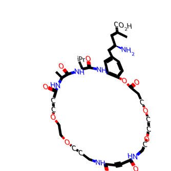 CC(C[C@@H](N)Cc1ccc2c(c1)NC(=O)C(C(C)C)NC(=O)C(C)NC(=O)CCOCCOCCCNC(=O)C#CC(=O)NCCOCCOCCC(=O)O2)C(=O)O